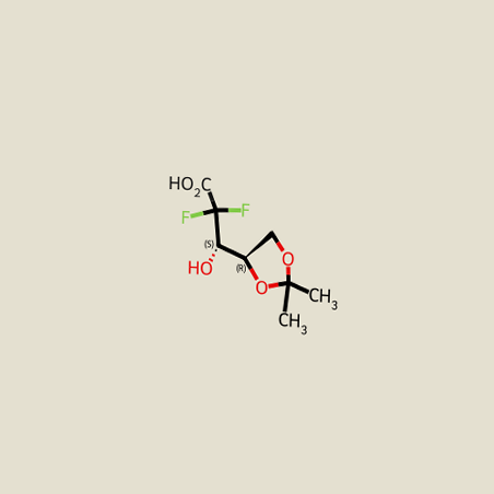 CC1(C)OC[C@H]([C@H](O)C(F)(F)C(=O)O)O1